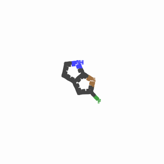 Fc1cc2c[c][nH]c2s1